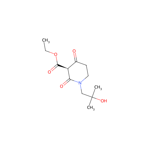 CCOC(=O)[C@H]1C(=O)CCN(CC(C)(C)O)C1=O